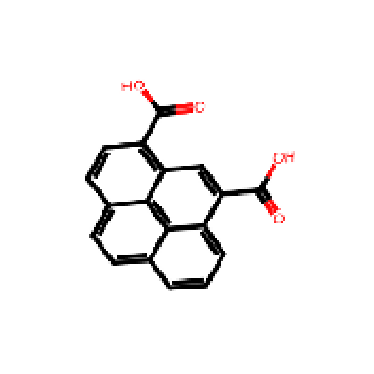 O=C(O)c1cc2c(C(=O)O)ccc3ccc4cccc1c4c32